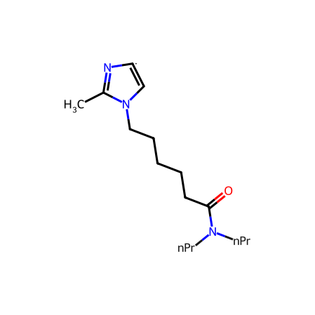 CCCN(CCC)C(=O)CCCCCn1c[c]nc1C